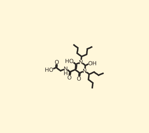 CCCC(CCC)N1C(=O)C(C(=O)NCC(=O)O)=C(O)N(C(CCC)CCC)C1O